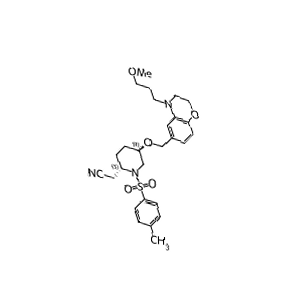 COCCCN1CCOc2ccc(CO[C@@H]3CC[C@@H](CC#N)N(S(=O)(=O)c4ccc(C)cc4)C3)cc21